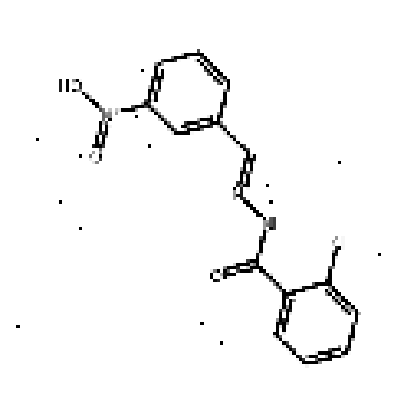 O=C(N/N=C/c1cccc([N+](=O)O)c1)c1ccccc1Cl